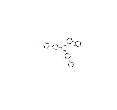 Cc1cc(C)cc(-c2ccc(-c3nc(-c4ccc(-c5ccc(C(C)(C)C)cc5)cc4)nc(-c4cccc5c4sc4ccccc45)n3)cc2)c1